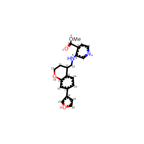 COC(=O)c1ccncc1NCC1CCOc2cc(-c3ccoc3)ccc21